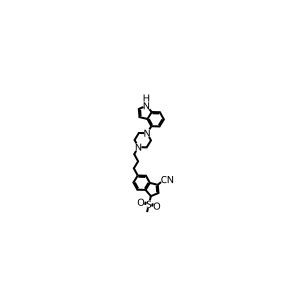 CS(=O)(=O)C1C=C(C#N)c2cc(CCCN3CCN(c4cccc5[nH]ccc45)CC3)ccc21